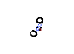 [Br-].c1c[n+](C2CCCCCC2)cn1C1CCCCCC1